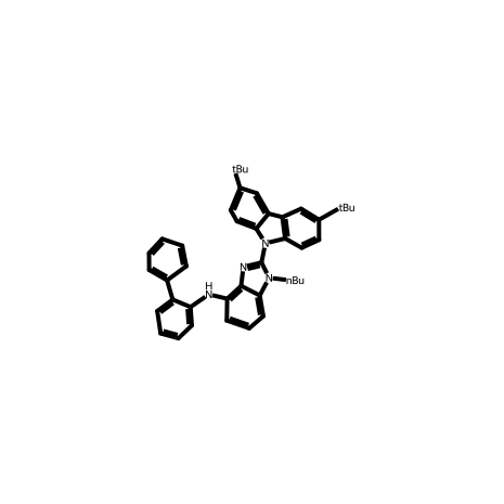 CCCCn1c(-n2c3ccc(C(C)(C)C)cc3c3cc(C(C)(C)C)ccc32)nc2c(Nc3ccccc3-c3ccccc3)cccc21